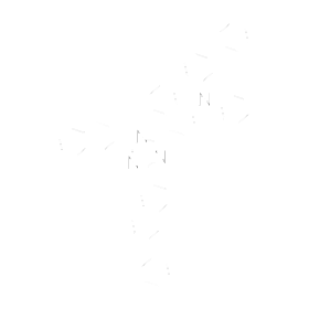 c1ccc(-c2ccc3c(c2)N(c2ccccc2)c2ccc(-c4nc(-c5ccc6ccccc6c5)nc(-c5ccc6cc(-c7ccccc7)ccc6c5)n4)c4cccc-3c24)cc1